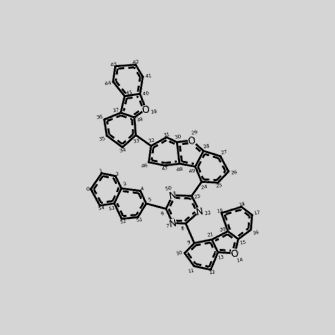 c1ccc2cc(-c3nc(-c4cccc5oc6ccccc6c45)nc(-c4cccc5oc6cc(-c7cccc8c7oc7ccccc78)ccc6c45)n3)ccc2c1